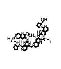 COc1nc2c(cc1Nc1ncc3ccnc(N4CCC[C@H]4CO)c3n1)CN(Cc1nc(Nc3cc4c(nc3OC)CCN(C)C4)nc3c(NC4CCC[C@H]4O)nccc13)CC2